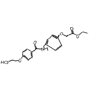 CCOC(=O)COc1ccc(NC(=O)c2ccc(OCO)cc2)cc1